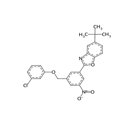 CC(C)(C)c1ccc2oc(-c3cc(COc4cccc(Cl)c4)cc([N+](=O)[O-])c3)nc2c1